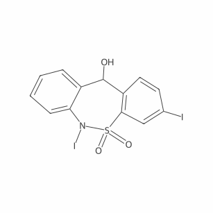 O=S1(=O)c2cc(I)ccc2C(O)c2ccccc2N1I